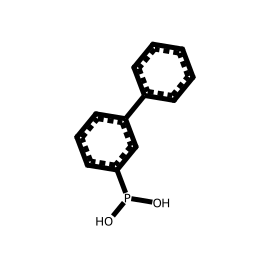 OP(O)c1cccc(-c2ccccc2)c1